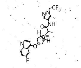 CC(C(=O)Nc1cnn(CC(F)(F)F)c1)[C@H]1[C@@H]2C[C@@H](Oc3ccnc4ccc(F)cc34)C[C@@H]21